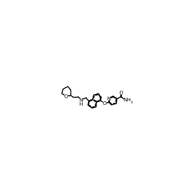 NC(=O)c1ccc(Oc2cccc3c(CNCCC4CCCCO4)cccc23)nc1